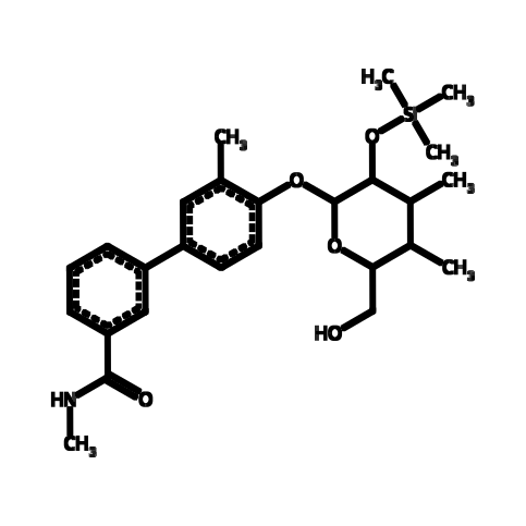 CNC(=O)c1cccc(-c2ccc(OC3OC(CO)C(C)C(C)C3O[Si](C)(C)C)c(C)c2)c1